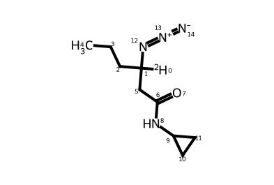 [2H]C(CCC)(CC(=O)NC1CC1)N=[N+]=[N-]